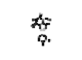 O=C1NC(=O)c2cc(-c3ccc(F)c(F)c3)cc3cccc1c23